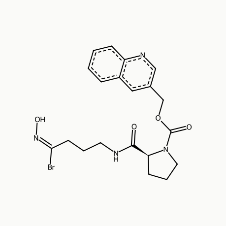 O=C(NCCC/C(Br)=N\O)[C@@H]1CCCN1C(=O)OCc1cnc2ccccc2c1